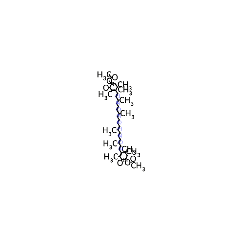 CC(=O)O[C@H]1CC(C)(C)C(/C=C/C(C)=C/C=C/C(C)=C/C=C/C=C(C)/C=C/C=C(C)/C=C/C2=C(C)C(=O)[C@@H](OC(C)=O)CC2(C)C)=C(C)C1=O